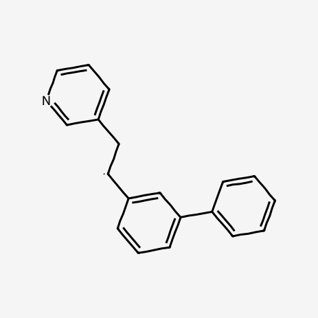 [CH](Cc1cccnc1)c1cccc(-c2ccccc2)c1